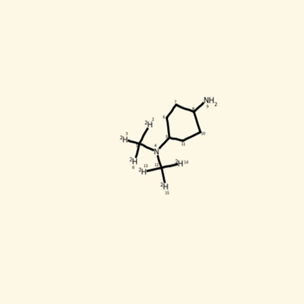 [2H]C([2H])([2H])N(C1CCC(N)CC1)C([2H])([2H])[2H]